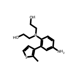 Cc1sccc1-c1cc(N)ccc1N(CCO)CCO